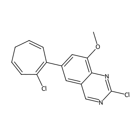 COc1cc(C2=C(Cl)C=CCC=C2)cc2cnc(Cl)nc12